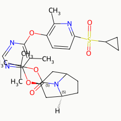 Cc1nc(S(=O)(=O)C2CC2)ccc1Oc1ncnc(O[C@H]2CC3CC[C@@H](C2)N3C(=O)OC(C)(C)C)c1C